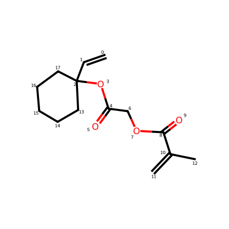 C=CC1(OC(=O)COC(=O)C(=C)C)CCCCC1